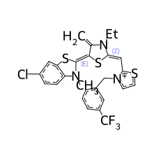 C=C1/C(=C2\Sc3cc(Cl)ccc3N2C)S/C(=C\c2scc[n+]2Cc2cccc(C(F)(F)F)c2)N1CC